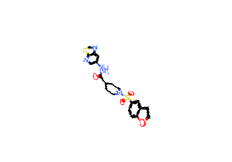 O=C(Nc1cnc2scnc2c1)C1CCN(S(=O)(=O)c2ccc3c(c2)CCO3)CC1